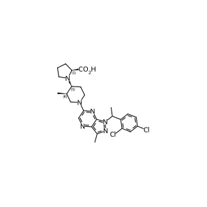 Cc1nn(C(C)c2ccc(Cl)cc2Cl)c2nc(N3CC[C@H](N4CCC[C@H]4C(=O)O)[C@H](C)C3)cnc12